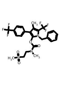 Cc1c(-c2ccc(C(F)(F)F)cc2)c(OC(=O)N(C)CCS(C)(=O)=O)n(Cc2ccccc2)c1C(F)(F)F